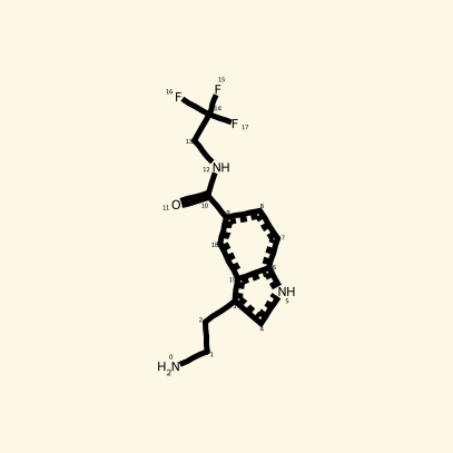 NCCc1c[nH]c2ccc(C(=O)NCC(F)(F)F)cc12